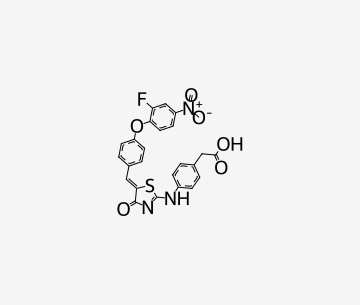 O=C(O)Cc1ccc(NC2=NC(=O)C(=Cc3ccc(Oc4ccc([N+](=O)[O-])cc4F)cc3)S2)cc1